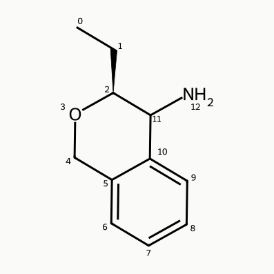 CC[C@@H]1OCc2ccccc2C1N